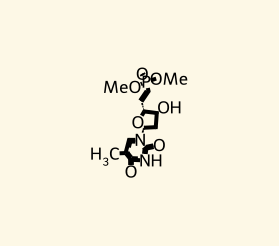 COP(=O)(/C=C/[C@H]1O[C@@H](n2cc(C)c(=O)[nH]c2=O)C[C@H]1O)OC